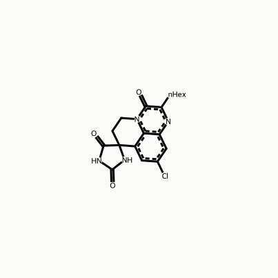 CCCCCCc1nc2cc(Cl)cc3c2n(c1=O)CCC31NC(=O)NC1=O